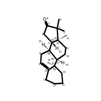 CC1(C)C(=O)C[C@H]2[C@@H]3CC=C4CCCC[C@]4(C)[C@@H]3CC[C@@]21C